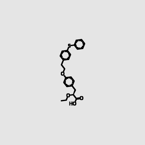 CCO[C@@H](Cc1ccc(OCCc2ccc(Sc3ccccc3)cc2)cc1)C(=O)O